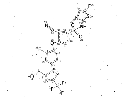 CCn1nc(C(F)(F)F)cc1-c1ccc(Oc2ccc(S(=O)(=O)Nc3ncc(F)s3)cc2C#N)c(F)c1